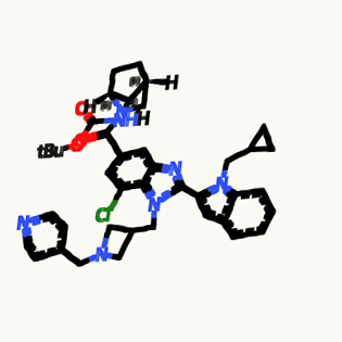 CC(C)(C)OC(=O)N[C@@H]1[C@@H]2CC[C@H]1N(C(=O)c1cc(Cl)c3c(c1)nc(-c1cc4ccccc4n1CC1CC1)n3CC1CN(Cc3ccncc3)C1)C2